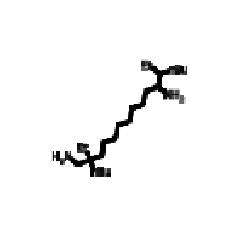 CCCCC(CC)C(N)CCCCCCCCC(CC)(CN)CCCC